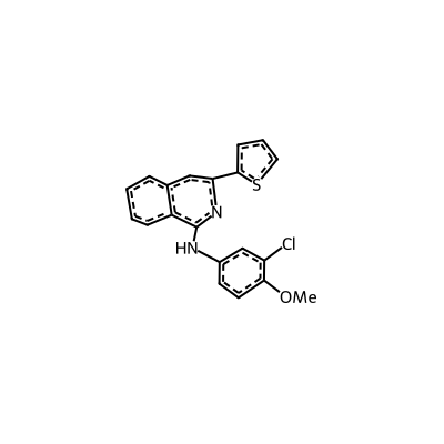 COc1ccc(Nc2nc(-c3cccs3)cc3ccccc23)cc1Cl